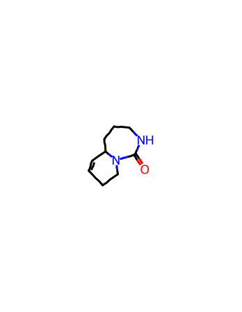 O=C1NCCCC2C=CCCN12